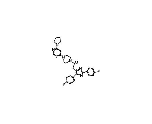 O=C(Cn1nc(-c2ccc(F)cc2)nc1-c1ccc(F)cc1)N1CCN(c2cc(N3CCCC3)ncn2)CC1